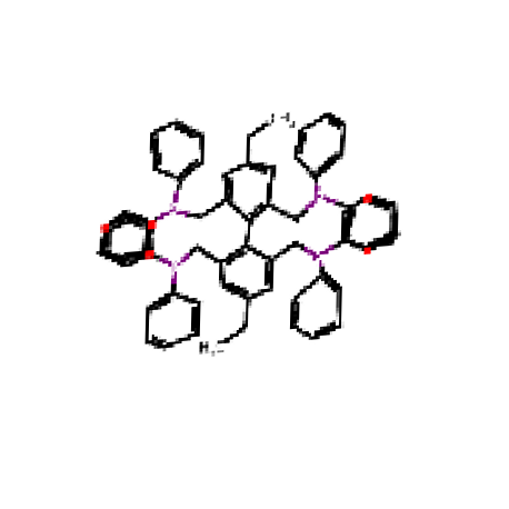 CCc1cc(CP(c2ccccc2)c2ccccc2)c(-c2c(CP(c3ccccc3)c3ccccc3)cc(CC)cc2CP(c2ccccc2)c2ccccc2)c(CP(c2ccccc2)c2ccccc2)c1